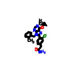 Cc1ccccc1Cn1c(-c2ccc(CC(N)=O)cc2Cl)nc2c(OC3(C)CC3)ncnc21